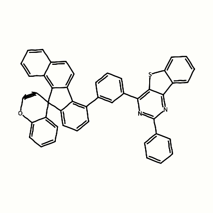 c1ccc(-c2nc(-c3cccc(-c4cccc5c4-c4ccc6ccccc6c4C54c5ccccc5Oc5ccccc54)c3)c3sc4ccccc4c3n2)cc1